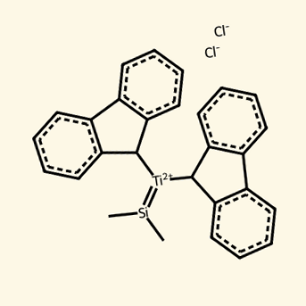 C[Si](C)=[Ti+2]([CH]1c2ccccc2-c2ccccc21)[CH]1c2ccccc2-c2ccccc21.[Cl-].[Cl-]